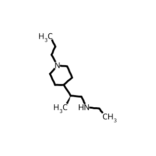 CCCN1CCC([C@H](C)CNCC)CC1